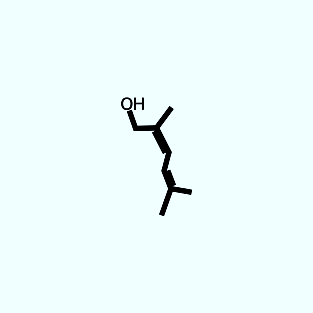 CC(C)=CC=C(C)CO